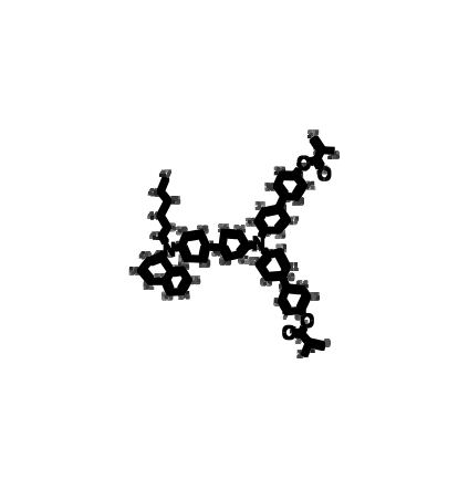 C=C(C)C(=O)Oc1ccc(-c2ccc(N(c3ccc(-c4ccc(OC(=O)C(=C)C)cc4)cc3)c3ccc(-c4ccc(N(CCCCCC)c5cccc6ccccc56)cc4)cc3)cc2)cc1